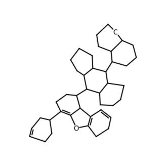 C1=CC2=C(CC1)OC1=C(C3CC=CCC3)CCC(C3C4CCCCC4C(C4CCCC5CCCCC54)C4CCCCC43)C21